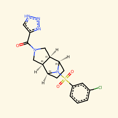 O=C(c1c[nH]nn1)N1C[C@@H]2[C@H](C1)[C@@H]1CC[C@H]2N1S(=O)(=O)c1cccc(Cl)c1